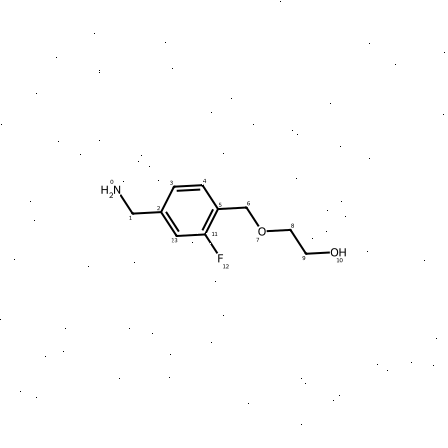 NCc1ccc(COCCO)c(F)c1